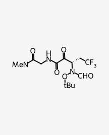 CNC(=O)CNC(=O)C(=O)[C@H](CC(F)(F)F)N(C=O)OC(C)(C)C